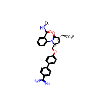 CCNC(=O)c1ccccc1N1C(=O)[C@H](CC(=O)O)C[C@H]1COc1ccc(-c2ccc(C(=N)N)cc2)cc1